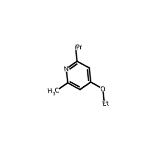 CCOc1cc(C)nc(C(C)C)c1